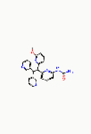 COc1cccc(C(c2cccc(NC(N)=O)n2)C(c2cccnc2)c2cccnc2)n1